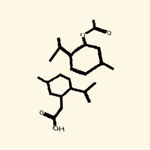 CC(=O)OC1CC(C)CCC1C(C)C.CC1CCC(C(C)C)C(CC(=O)O)C1